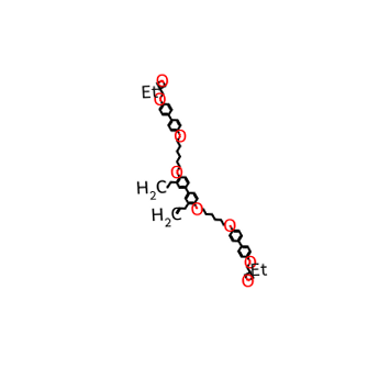 C=CCc1cc(-c2ccc(OCCCCCCOc3ccc(-c4ccc(OCC5(CC)COC5)cc4)cc3)c(CC=C)c2)ccc1OCCCCCCOc1ccc(-c2ccc(OCC3(CC)COC3)cc2)cc1